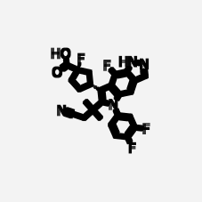 CC(C)(CC#N)c1c([C@@H]2CC[C@@](F)(C(=O)O)C2)c2c(F)c3[nH]ncc3cc2n1-c1ccc(F)c(F)c1